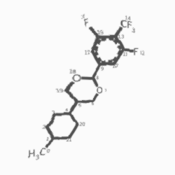 CC1CCC(C2COC(c3cc(F)c(C(F)(F)F)c(F)c3)OC2)CC1